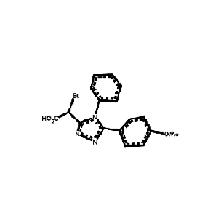 CCC(C(=O)O)c1nnc(-c2ccc(OC)cc2)n1-c1ccccc1